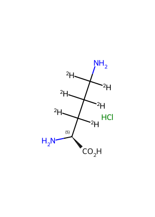 Cl.[2H]C([2H])(N)C([2H])([2H])C([2H])([2H])[C@H](N)C(=O)O